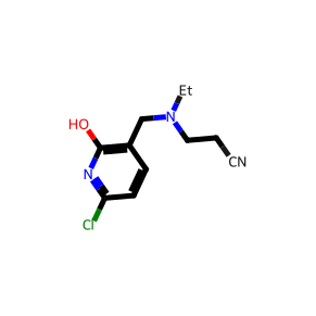 CCN(CCC#N)Cc1ccc(Cl)nc1O